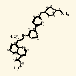 CCN1CCC(Cc2ccc(-c3cc(NC[C@@H](C)c4cccc5c(C(=O)NC)ccnc45)ncn3)cn2)CC1